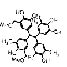 CCc1cc(C(c2cc(C)c(O)c(CC)c2)C(c2cc(C)c(O)c(COC)c2)c2cc(C)c(O)c(COC)c2)cc(C)c1O